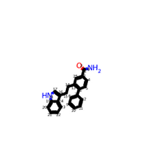 NC(=O)c1ccc(-c2ccccc2)c(CCc2c[nH]c3ccccc23)c1